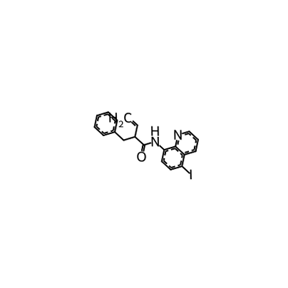 C=CC(Cc1ccccc1)C(=O)Nc1ccc(I)c2cccnc12